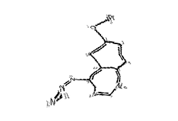 CC(C)Oc1ccc2ncnc(N=[N+]=[N-])c2c1